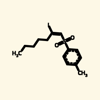 CCCCC/C(I)=C\S(=O)(=O)c1ccc(C)cc1